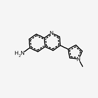 Cn1ccc(-c2cnc3ccc(N)cc3c2)c1